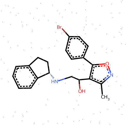 Cc1noc(-c2ccc(Br)cc2)c1C(O)CN[C@H]1CCc2ccccc21